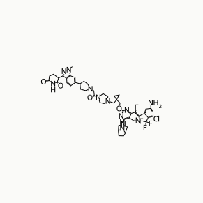 Cn1nc(C2CCC(=O)NC2=O)c2ccc(C3CCN(CC(=O)N4CCN(CC5(COc6nc(N7CC8CCC(C7)N8)c7cnc(-c8cc(N)cc(Cl)c8C(F)(F)F)c(F)c7n6)CC5)CC4)CC3)cc21